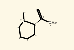 C=C(OC)[C@@H]1CCCCN1C